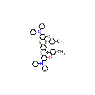 Cc1ccc2c(c1)Oc1cc(N(c3ccccc3)c3ccccc3)cc3c1B2c1cc2c(cc1S3)Sc1cc(N(c3ccccc3)c3ccccc3)cc3c1B2c1ccc(C)cc1O3